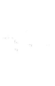 CCCCCCN1N=CN(C(Cl)(Cl)C(Cl)(Cl)Cl)C1Cl